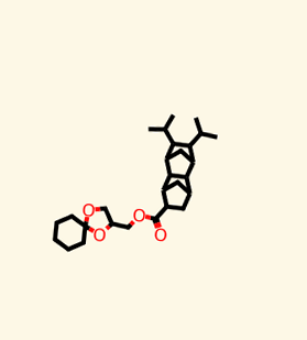 CC(C)C1C2CC(C1C(C)C)C1C3CC(CC3C(=O)OCC3COC4(CCCCC4)O3)C21